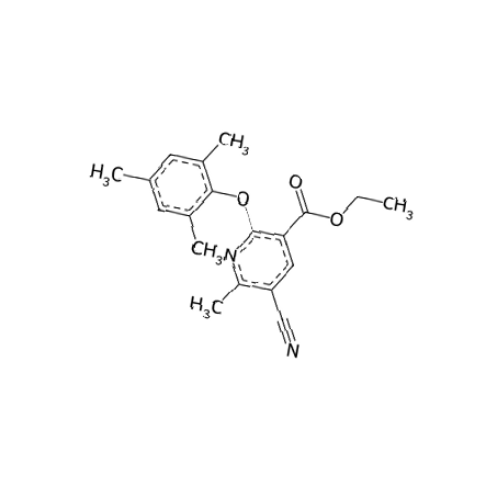 CCOC(=O)c1cc(C#N)c(C)nc1Oc1c(C)cc(C)cc1C